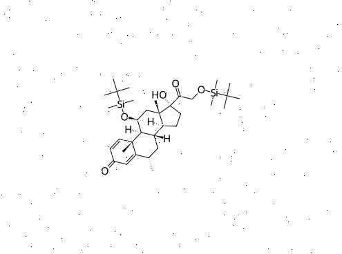 C[C@H]1C[C@@H]2[C@H]([C@@H](O[Si](C)(C)C(C)(C)C)C[C@@]3(C)[C@H]2CC[C@]3(O)C(=O)CO[Si](C)(C)C(C)(C)C)[C@@]2(C)C=CC(=O)C=C12